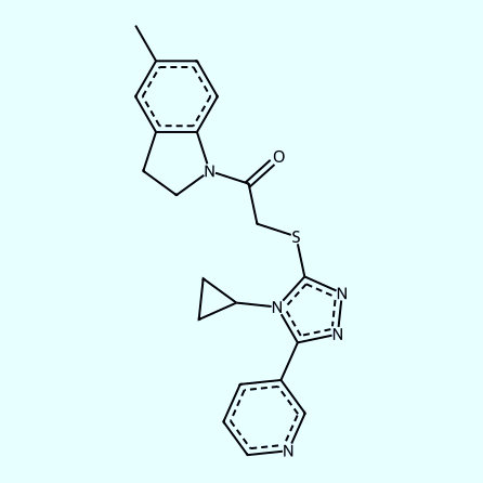 Cc1ccc2c(c1)CCN2C(=O)CSc1nnc(-c2cccnc2)n1C1CC1